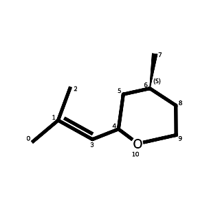 CC(C)=CC1C[C@@H](C)CCO1